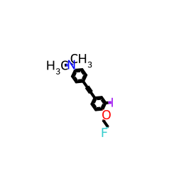 CN(C)c1ccc(C#Cc2ccc(OCCF)c(I)c2)cc1